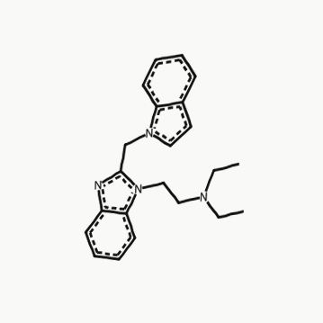 CCN(CC)CCn1c(Cn2ccc3ccccc32)nc2ccccc21